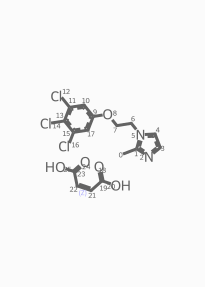 Cc1nccn1CCOc1cc(Cl)c(Cl)c(Cl)c1.O=C(O)/C=C\C(=O)O